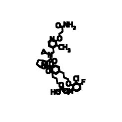 Cc1c(CN(C(=O)C2=C(c3ccc(CCCOc4c(F)ccc(F)c4Cl)cc3)CC3CCC2N3C(=O)OCCCCON(O)O)C2CC2)ccnc1OCCC(N)=O